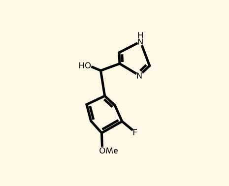 COc1ccc(C(O)c2c[nH]cn2)cc1F